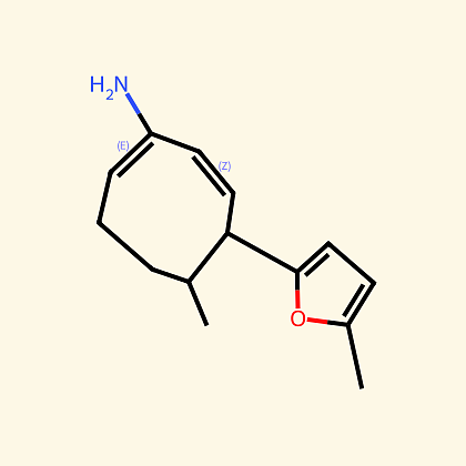 Cc1ccc(C2/C=C\C(N)=C/CCC2C)o1